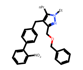 CCCc1c(Cc2ccc(-c3ccccc3[N+](=O)[O-])cc2)c(COCc2ccccc2)nn1CC